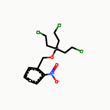 O=[N+]([O-])c1ccccc1CO[Si](CCCl)(CCCl)CCCl